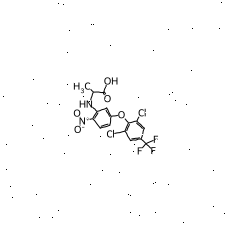 CC(Nc1cc(Oc2c(Cl)cc(C(F)(F)F)cc2Cl)ccc1[N+](=O)[O-])C(=O)O